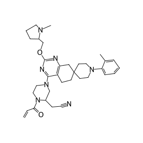 C=CC(=O)N1CCN(c2nc(OCC3CCCN3C)nc3c2CCC2(CCN(c4ccccc4C)CC2)C3)CC1CC#N